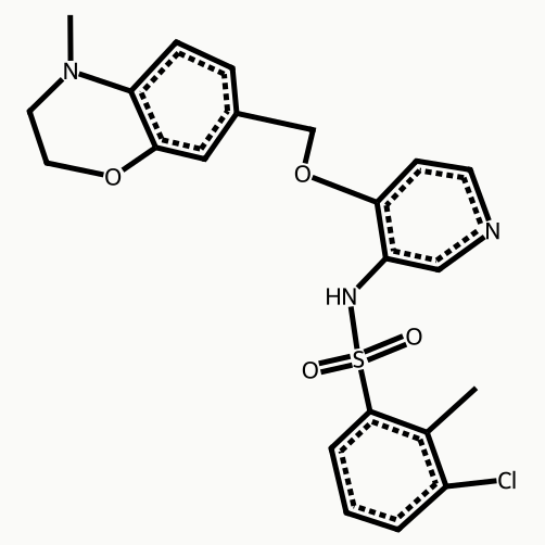 Cc1c(Cl)cccc1S(=O)(=O)Nc1cnccc1OCc1ccc2c(c1)OCCN2C